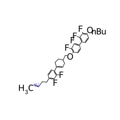 C/C=C/CCc1ccc(C2=CCC(COc3ccc(-c4ccc(OCCCC)c(F)c4F)c(F)c3F)CC2)c(F)c1F